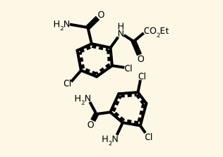 CCOC(=O)C(=O)Nc1c(Cl)cc(Cl)cc1C(N)=O.NC(=O)c1cc(Cl)cc(Cl)c1N